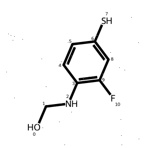 OCNc1ccc(S)cc1F